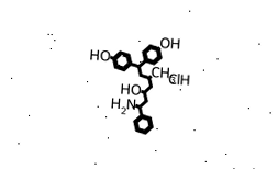 CC(CC(O)CC(N)c1ccccc1)CC(c1ccc(O)cc1)c1ccc(O)cc1.Cl